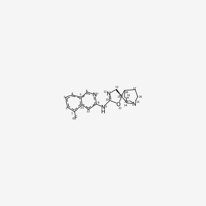 Fc1cccc2cnc(NC3=NC[C@@]4(CN5CCC4CC5)O3)cc12